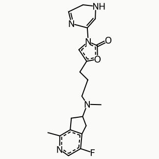 Cc1ncc(F)c2c1CC(N(C)CCCc1cn(C3=CNCC=N3)c(=O)o1)C2